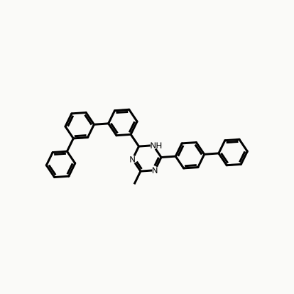 CC1=NC(c2cccc(-c3cccc(-c4ccccc4)c3)c2)NC(c2ccc(-c3ccccc3)cc2)=N1